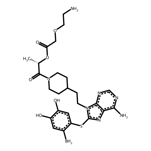 Bc1cc(O)c(O)cc1Sc1nc2c(N)ncnc2n1CCC1CCN(C(=O)[C@H](C)OC(=O)COCCN)CC1